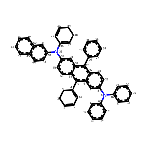 C1=CCCC(c2c3cc(N(c4ccccc4)c4ccccc4)ccc3c(-c3ccccc3)c3cc(N(C4=CCCC=C4)c4ccc5ccccc5c4)ccc23)=C1